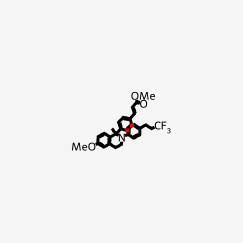 COC(=O)/C=C/c1ccc(C2(C)c3ccc(OC)cc3CCN2c2ccc(CCC(F)(F)F)cc2)cc1